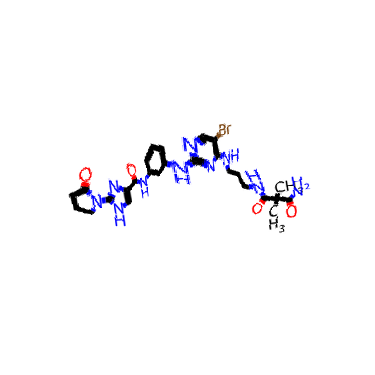 CC(C)(C(N)=O)C(=O)NCCCNc1nc(Nc2cccc(NC(=O)c3c[nH]c(N4CCCC4=O)n3)c2)ncc1Br